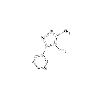 Cc1nnc(-c2cccnc2)n1C